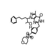 Cc1nn(C(CCCc2ccccc2)C(C)O)c2nc(Cc3ccc(S(=O)(=O)N4CCOCC4)cc3)[nH]c(=O)c12